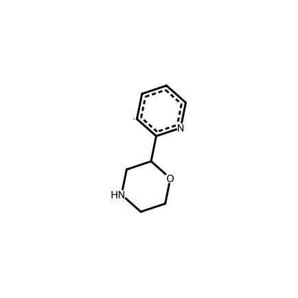 [c]1cccnc1C1CNCCO1